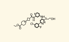 CCOC(=O)C1CCN(C2CC(C(=O)Nc3cc(Nc4cc(-c5cc(Cl)ccc5F)nnc4SCCO)ccn3)C2)CC1